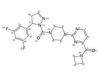 O=C(c1ccnc(N2CCN(C(=O)N3N=CCC3c3cc(F)cc(F)c3)CC2)n1)N1CCC1